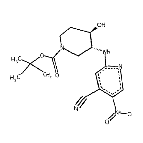 CC(C)(C)OC(=O)N1CC[C@@H](O)[C@H](Nc2cc(C#N)c([N+](=O)[O-])cn2)C1